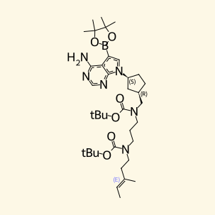 C/C=C(\C)CCN(CCCN(C[C@@H]1CC[C@H](n2cc(B3OC(C)(C)C(C)(C)O3)c3c(N)ncnc32)C1)C(=O)OC(C)(C)C)C(=O)OC(C)(C)C